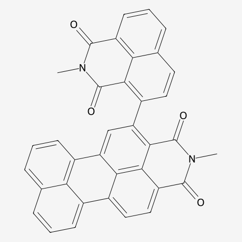 CN1C(=O)c2cccc3ccc(-c4cc5c6cccc7cccc(c8ccc9c(c4C(=O)N(C)C9=O)c85)c76)c(c23)C1=O